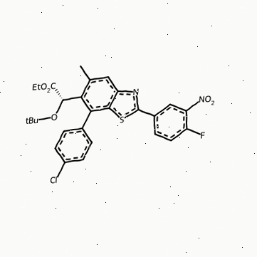 CCOC(=O)[C@@H](OC(C)(C)C)c1c(C)cc2nc(-c3ccc(F)c([N+](=O)[O-])c3)sc2c1-c1ccc(Cl)cc1